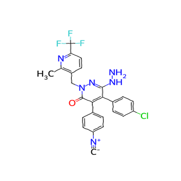 [C-]#[N+]c1ccc(-c2c(-c3ccc(Cl)cc3)c(NN)nn(Cc3ccc(C(F)(F)F)nc3C)c2=O)cc1